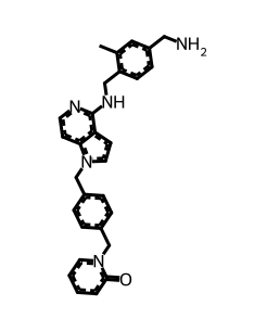 Cc1cc(CN)ccc1CNc1nccc2c1ccn2Cc1ccc(Cn2ccccc2=O)cc1